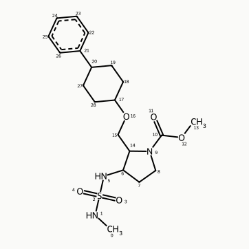 CNS(=O)(=O)NC1CCN(C(=O)OC)C1COC1CCC(c2ccccc2)CC1